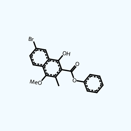 COc1c(C)c(C(=O)Oc2ccccc2)c(O)c2cc(Br)ccc12